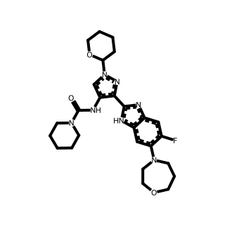 O=C(Nc1cn(C2CCCCO2)nc1-c1nc2cc(F)c(N3CCCOCC3)cc2[nH]1)N1CCCCC1